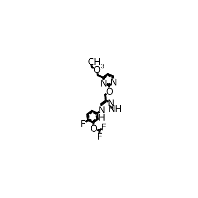 CCOCc1ccnc(OC/C(=C/Nc2ccc(F)c(OC(F)F)c2)N=N)n1